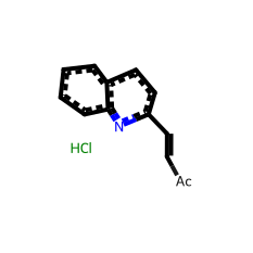 CC(=O)C=Cc1ccc2ccccc2n1.Cl